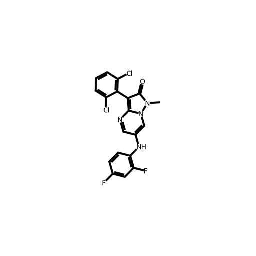 Cn1c(=O)c(-c2c(Cl)cccc2Cl)c2ncc(Nc3ccc(F)cc3F)cn21